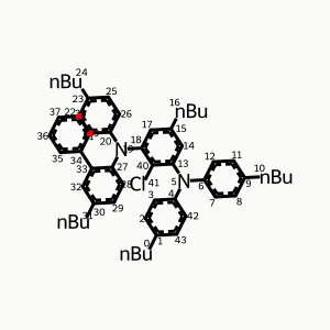 CCCCc1ccc(N(c2ccc(CCCC)cc2)c2cc(CCCC)cc(N(c3ccc(CCCC)cc3)c3ccc(CCCC)cc3-c3ccccc3)c2Cl)cc1